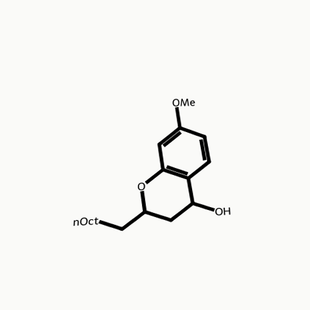 CCCCCCCCCC1CC(O)c2ccc(OC)cc2O1